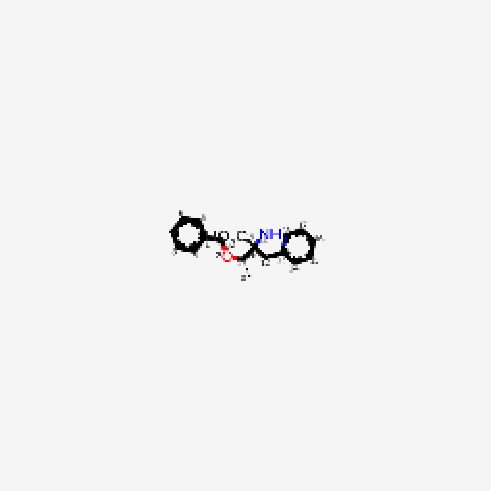 C[C@H](OCc1ccccc1)[C@](N)(Cc1ccccc1)C(=O)O